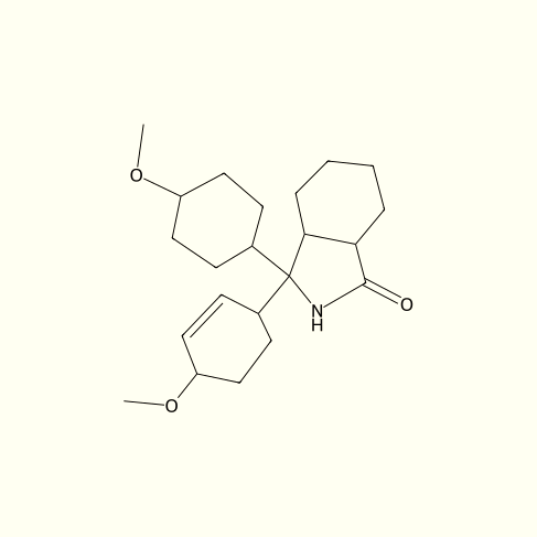 COC1C=CC(C2(C3CCC(OC)CC3)NC(=O)C3CCCCC32)CC1